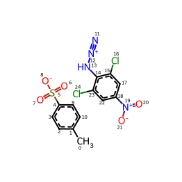 Cc1ccc(S(=O)(=O)[O-])cc1.N#[N+]Nc1c(Cl)cc([N+](=O)[O-])cc1Cl